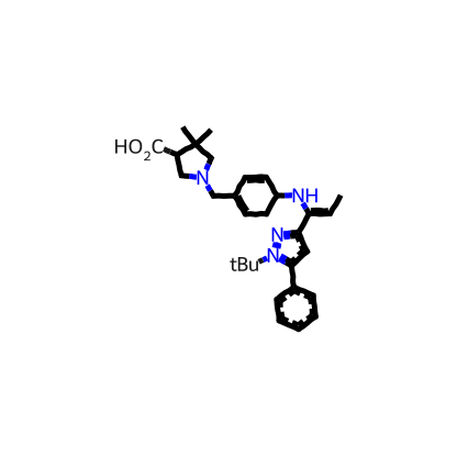 C/C=C(\NC1C=CC(CN2CC(C(=O)O)C(C)(C)C2)=CC1)c1cc(-c2ccccc2)n(C(C)(C)C)n1